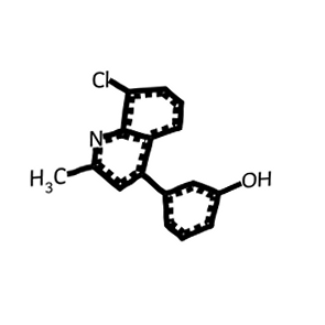 Cc1cc(-c2cccc(O)c2)c2cccc(Cl)c2n1